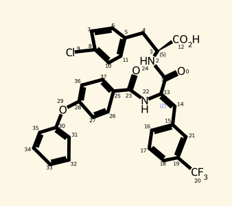 O=C(N[C@@H](Cc1ccc(Cl)cc1)C(=O)O)/C(=C/c1cccc(C(F)(F)F)c1)NC(=O)c1ccc(Oc2ccccc2)cc1